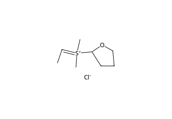 CC=[S+](C)(C)C1CCCO1.[Cl-]